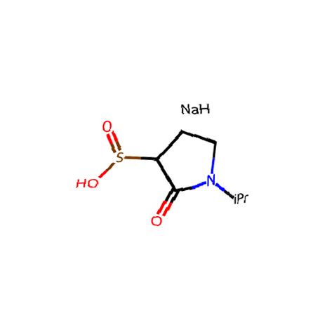 CC(C)N1CCC(S(=O)O)C1=O.[NaH]